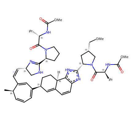 COC[C@H]1C[C@@H](c2nc3c([nH]2)[C@@H]2CC[C@H](C4=CC=C[C@@H](C)C(/C=C\[C@H]5CNC([C@@H]6CCCN6C(=O)[C@@H](NC(=O)OC)C(C)C)=N5)=C4)C=C2C=C3)N(C(=O)[C@@H](NC(=O)OC)C(C)C)C1